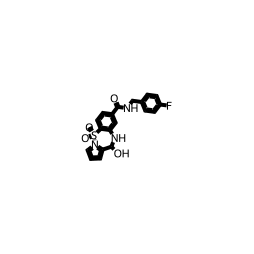 O=C(NCc1ccc(F)cc1)c1ccc2c(c1)NC(O)c1cccn1S2(=O)=O